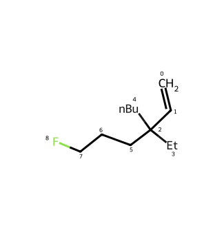 C=CC(CC)(CCCC)CCCF